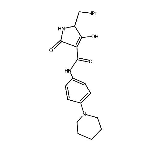 CC(C)CC1NC(=O)C(C(=O)Nc2ccc(N3CCCCC3)cc2)=C1O